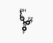 OCCCN1CC=C(c2cn(-c3ccc(F)cc3)c3ccc(C(F)(F)F)cc23)CC1